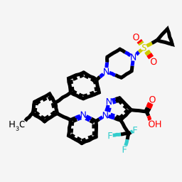 Cc1ccc(-c2ccc(N3CCN(S(=O)(=O)C4CC4)CC3)cc2)c(-c2cccc(-n3ncc(C(=O)O)c3C(F)(F)F)n2)c1